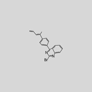 C=C/C=C(\C)c1ccc(-c2nc(Br)nc3ccccc23)cc1